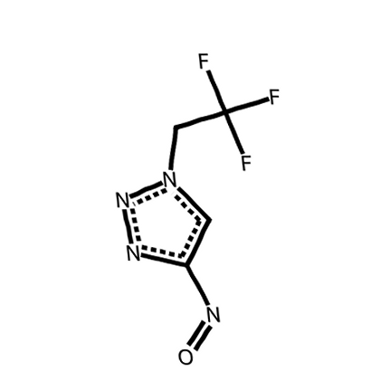 O=Nc1cn(CC(F)(F)F)nn1